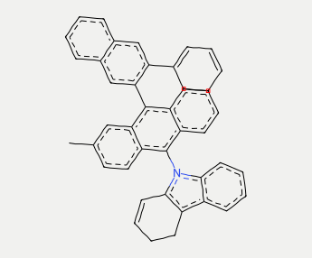 Cc1ccc2c(-n3c4c(c5ccccc53)CCC=C4)c3ccccc3c(-c3cc4ccccc4cc3C3=CC=CCC3)c2c1